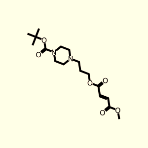 COC(=O)/C=C/C(=O)OCCCN1CCN(C(=O)OC(C)(C)C)CC1